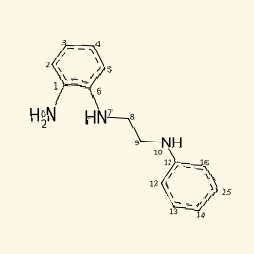 Nc1ccccc1NCCNc1ccccc1